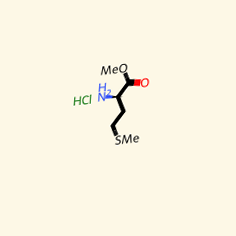 COC(=O)[C@H](N)CCSC.Cl